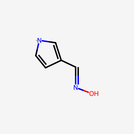 ON=CC1=C[N]C=C1